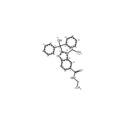 CCNC(=O)c1ccc2nc(C(O)(c3ccccc3)c3ccccc3)n(CC)c2c1